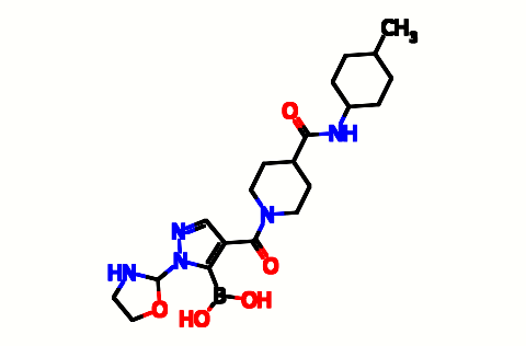 CC1CCC(NC(=O)C2CCN(C(=O)c3cnn(C4NCCO4)c3B(O)O)CC2)CC1